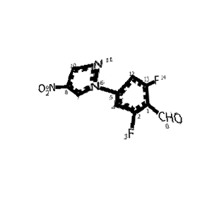 O=Cc1c(F)cc(-n2cc([N+](=O)[O-])cn2)cc1F